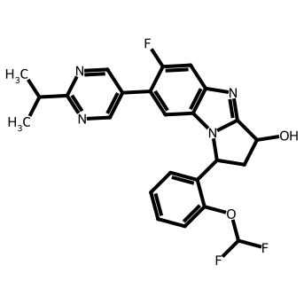 CC(C)c1ncc(-c2cc3c(cc2F)nc2n3C(c3ccccc3OC(F)F)CC2O)cn1